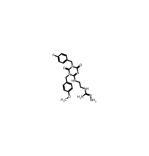 COc1ccc(Cn2c(NCCN/C(N)=N/N)nc(=O)n(Cc3ccc(F)cc3)c2=O)cc1